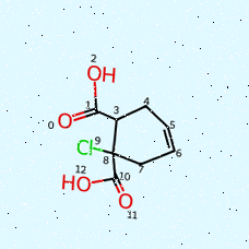 O=C(O)C1CC=CCC1(Cl)C(=O)O